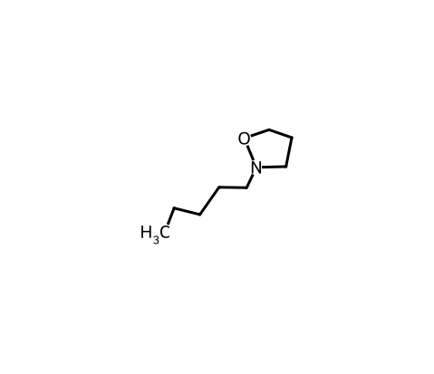 CCCCCN1CCCO1